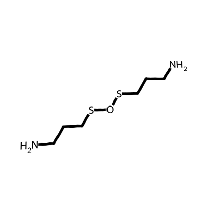 NCCCSOSCCCN